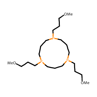 COCCCP1CCCP(CCCOC)CCCP(CCCOC)CCC1